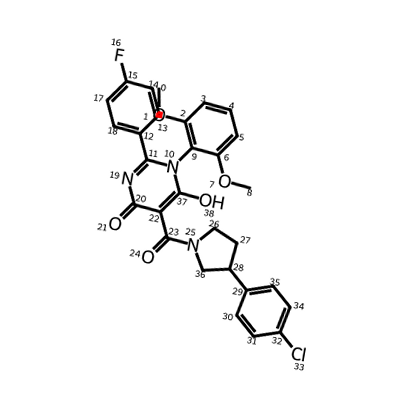 COc1cccc(OC)c1-n1c(-c2ccc(F)cc2)nc(=O)c(C(=O)N2CCC(c3ccc(Cl)cc3)C2)c1O